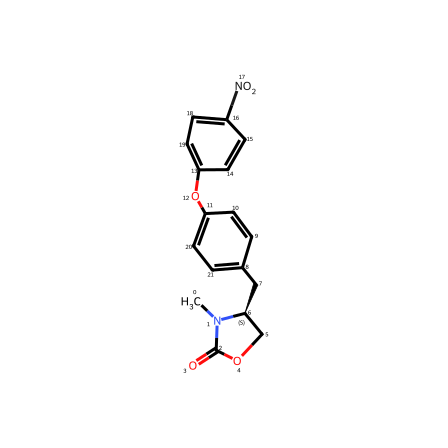 CN1C(=O)OC[C@@H]1Cc1ccc(Oc2ccc([N+](=O)[O-])cc2)cc1